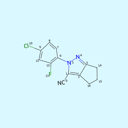 N#Cc1c2c(nn1-c1ccc(Cl)cc1F)CCC2